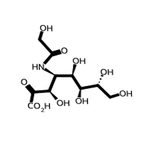 O=C(CO)N[C@@H]([C@@H](O)[C@H](O)[C@H](O)CO)[C@@H](O)C(=O)C(=O)O